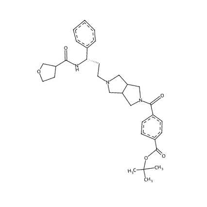 CC(C)(C)OC(=O)c1ccc(C(=O)N2CC3CN(CC[C@H](NC(=O)C4CCOC4)c4ccccc4)CC3C2)cc1